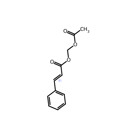 CC(=O)OCOC(=O)/C=C/c1ccccc1